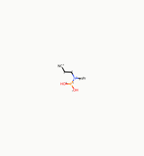 CCCN(CCC#N)P(O)O